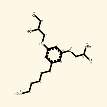 CCCCCCCCCCCCCCCc1cc(OCC(O)CCl)cc(OCC(CC)CCCC)c1